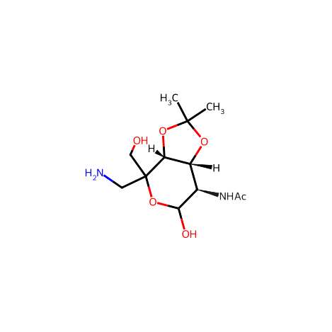 CC(=O)N[C@H]1C(O)OC(CN)(CO)[C@@H]2OC(C)(C)O[C@@H]21